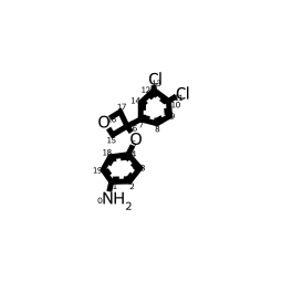 Nc1ccc(OC2(c3ccc(Cl)c(Cl)c3)COC2)cc1